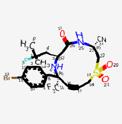 CC(C)(F)C[C@@H]1N[C@@](c2ccc(Br)cc2)(C(F)(F)F)C#CCS(=O)(=O)C[C@@H](C#N)NC1=O